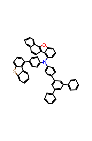 c1ccc(-c2cc(-c3ccccc3)cc(-c3ccc(N(c4ccc(-c5cccc6sc7ccccc7c56)cc4)c4cccc5oc6c7ccccc7ccc6c45)cc3)c2)cc1